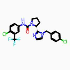 O=C(Nc1ccc(Cl)c(C(F)(F)F)c1)N1CCC[C@@H]1c1nccn1Cc1ccc(Cl)cc1